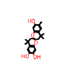 Cc1cc2c(cc1O)OC1(CC2(C)C)CC(C)(C)c2cc(O)c(O)cc2O1